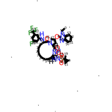 CCn1c(O[C@@H]2C[C@H]3C(=O)N[C@]4(C(=O)NS(=O)(=O)C5(C)CC5)C[C@H]4CCCCCCC[C@H](Nc4cc(F)cc(C(F)(F)F)c4)C(=O)N3C2)nc2ccccc21